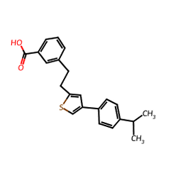 CC(C)c1ccc(-c2csc(CCc3cccc(C(=O)O)c3)c2)cc1